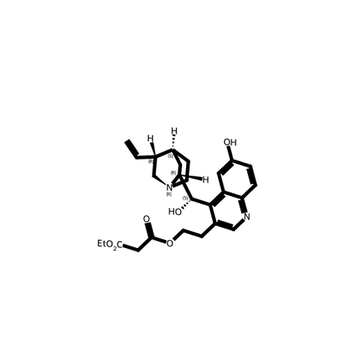 C=C[C@H]1C[N@]2CC[C@H]1C[C@@H]2[C@@H](O)c1c(CCOC(=O)CC(=O)OCC)cnc2ccc(O)cc12